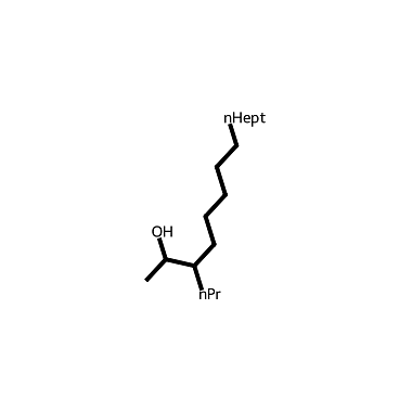 CCCCCCCCCCCCC(CCC)C(C)O